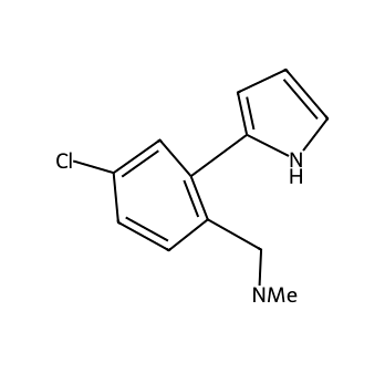 CNCc1ccc(Cl)cc1-c1ccc[nH]1